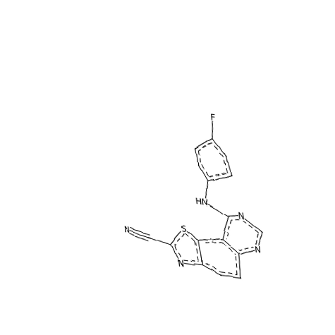 N#Cc1nc2ccc3ncnc(Nc4ccc(F)cc4)c3c2s1